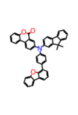 CC1(C)c2ccccc2-c2ccc(N(c3ccc(-c4cccc5c4oc4ccccc45)cc3)c3ccc4c(c3)c(=O)oc3ccccc34)cc21